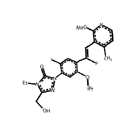 CCn1c(CO)nn(-c2cc(OC(C)C)c(/C(F)=C/c3c(C)ccnc3OC)cc2I)c1=O